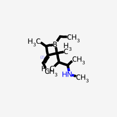 C/C=C1/C(C)B(CC)C1(C)C(C)C(C)NC